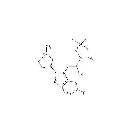 CN(CC(F)(F)F)C(O)Cn1c(N2CC[C@@H](N)C2)nc2ccc(F)cc21